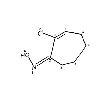 ON=C1CCCCC=C1Cl